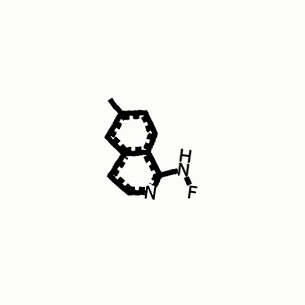 Cc1ccc2c(NF)nccc2c1